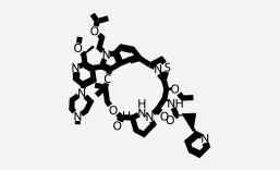 CCO[C@@H]1C2=NC(CS2)c2ccc3c(c2)c(c(-c2cc(N4CCN(C)CC4)cnc2[C@H](C)OC)n3CCOC(C)C)CC(C)(C)COC(=O)[C@@H]2CCCN(N2)C(=O)[C@H]1NC(=O)[C@@H]1C[C@H]1c1ccccn1